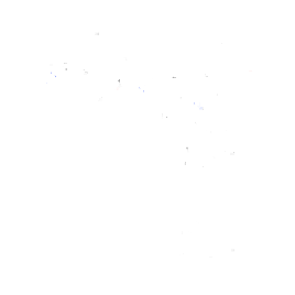 CC(O)CCN(c1ccc(OCc2ccccc2)cc1)C1CCN(C(=O)CC(C)CC(N)=O)CC1